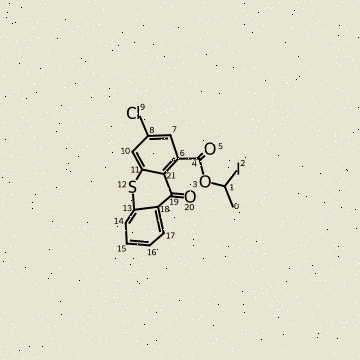 CC(I)OC(=O)c1cc(Cl)cc2sc3ccccc3c(=O)c12